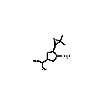 CC(C)(C)C(O)C1CC(C(=O)O)C(C2OC2(C)C)C1